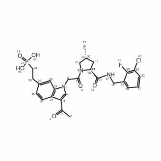 CC(=O)c1cn(CC(=O)N2C[C@H](F)C[C@H]2C(=O)NCc2cccc(Cl)c2F)c2cc(CCP(=O)(O)O)ccc12